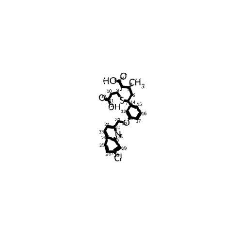 CC(CC(=O)O)CC(SCCC(=O)O)c1cccc(OCc2ccc3ccc(Cl)cc3n2)c1